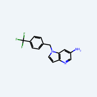 Nc1cnc2ccn(Cc3ccc(C(F)(F)F)cc3)c2c1